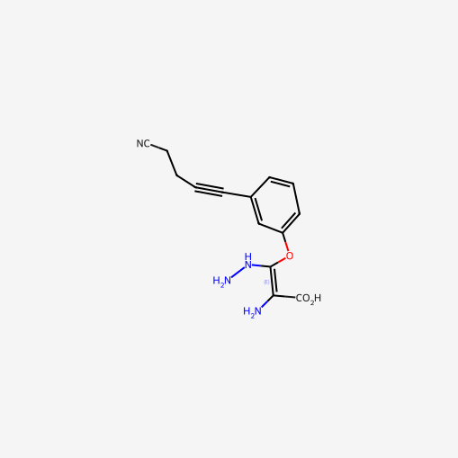 N#CCCC#Cc1cccc(O/C(NN)=C(/N)C(=O)O)c1